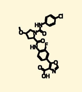 COC1CC(C(=O)Nc2ccc(-c3ocnc3C(=O)O)cc2F)N(C(=O)Nc2ccc(Cl)cc2)C1